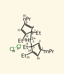 CCCC1=C[C](CC)([Hf+2][C]2(CC)C=C(CCC)C=C2CC)C(CC)=C1.[Cl-].[Cl-]